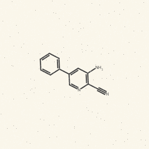 N#Cc1ncc(-c2ccccc2)cc1N